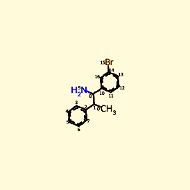 CC(c1ccccc1)C(N)c1cccc(Br)c1